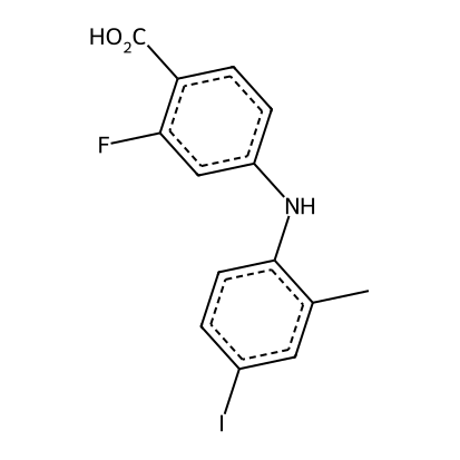 Cc1cc(I)ccc1Nc1ccc(C(=O)O)c(F)c1